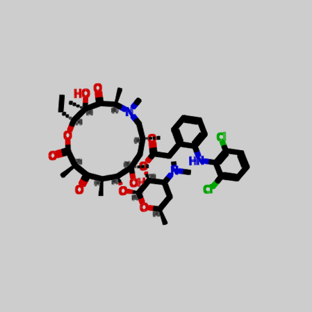 CC[C@H]1OC(=O)[C@H](C)C(=O)[C@H](C)[C@@H](O[C@@H]2O[C@H](C)CC(N(C)C)[C@H]2OC(=O)Cc2ccccc2Nc2c(Cl)cccc2Cl)[C@](C)(O)C[C@@H](C)CN(C)[C@H](C)C(=O)[C@]1(C)O